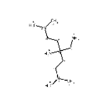 CN(C)CCC(N)(CN)CCN(C)C